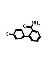 NC(=O)c1ccccc1-c1ccc(Cl)cc1